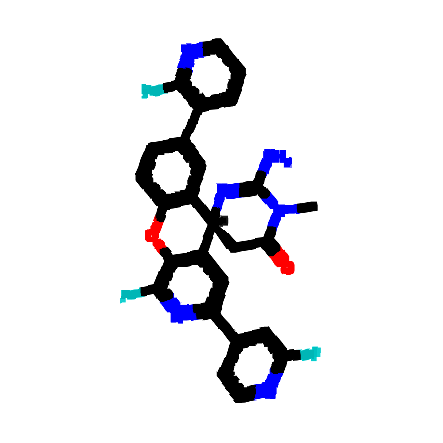 CN1C(=O)C[C@]2(N=C1N)c1cc(-c3cccnc3F)ccc1Oc1c2cc(-c2ccnc(F)c2)nc1F